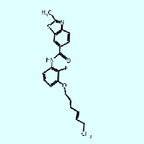 CCC=CCCCOc1cccc(NC(=O)c2ccc3nc(C)sc3c2)c1F